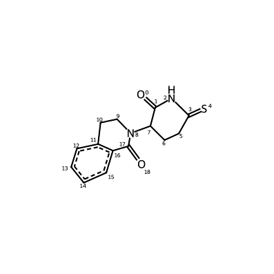 O=C1NC(=S)CCC1N1CCc2ccccc2C1=O